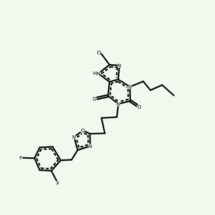 CCCCn1c(=O)n(CCCc2nc(Cc3ccc(F)cc3F)no2)c(=O)c2[nH]c(Cl)nc21